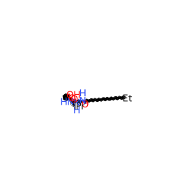 CCC=CCC=CCC=CCC=CCC=CCC=CCCC(=O)NCCNC(=O)[C@H](CC(C)C)NC(=O)c1ccccc1O